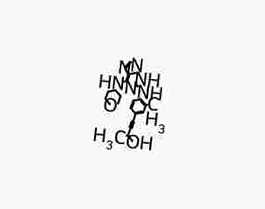 Cc1cc(C#CC(C)O)ccc1Nc1nc(NC2CCOCC2)c2ncnc-2[nH]1